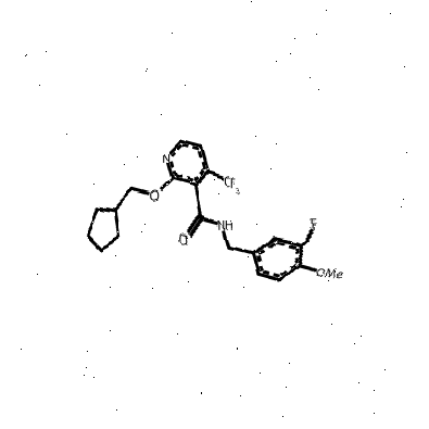 COc1ccc(CNC(=O)c2c(C(F)(F)F)ccnc2OCC2CCCC2)cc1F